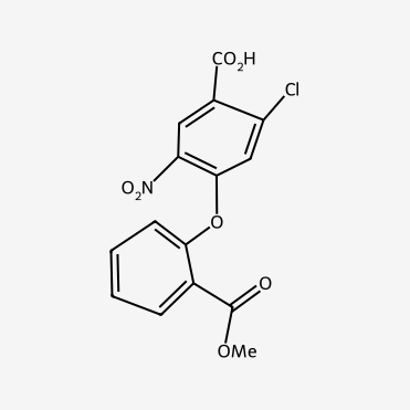 COC(=O)c1ccccc1Oc1cc(Cl)c(C(=O)O)cc1[N+](=O)[O-]